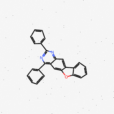 c1ccc(-c2nc(-c3ccccc3)c3cc4oc5ccccc5c4cc3n2)cc1